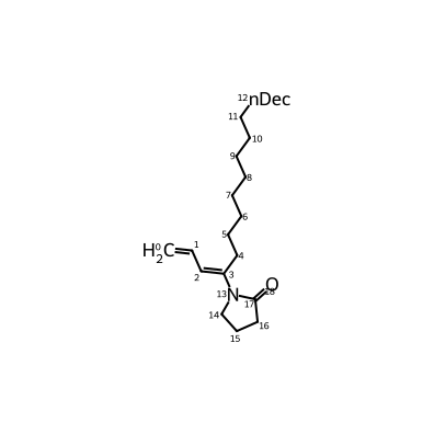 C=CC=C(CCCCCCCCCCCCCCCCCC)N1CCCC1=O